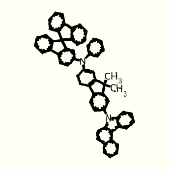 CC1(C)C2=C(CCC(N(c3ccccc3)c3ccc4c(c3)C3(c5ccccc5-c5ccccc53)c3ccccc3-4)=C2)c2ccc(-n3c4ccccc4c4c5ccccc5ccc43)cc21